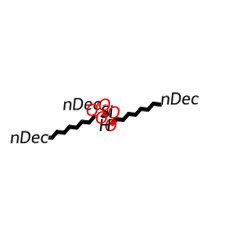 CCCCCCCCCCCCCCCCCC(=O)O[SiH](OCCCCCCCCCC)OC(=O)CCCCCCCCCCCCCCCCC